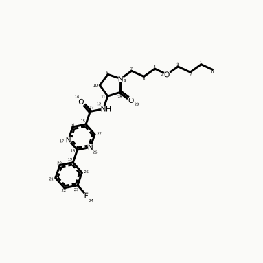 CCCCOCCCN1CCC(NC(=O)c2cnc(-c3cccc(F)c3)nc2)C1=O